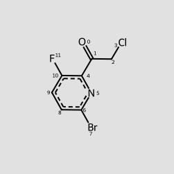 O=C(CCl)c1nc(Br)ccc1F